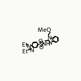 CCc1nc2cc(S(=O)(=O)NCc3nc4ccccc4n3CCOC)ccc2n1CC